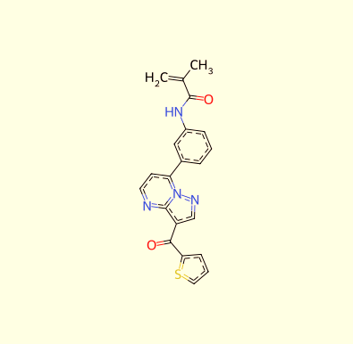 C=C(C)C(=O)Nc1cccc(-c2ccnc3c(C(=O)c4cccs4)cnn23)c1